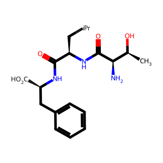 CC(C)C[C@@H](NC(=O)[C@H](N)[C@H](C)O)C(=O)N[C@@H](Cc1ccccc1)C(=O)O